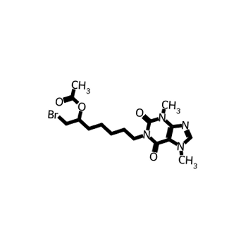 CC(=O)OC(CBr)CCCCCn1c(=O)c2c(ncn2C)n(C)c1=O